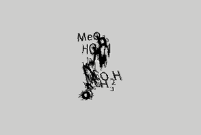 COc1ccc2nccc(C(O)CC[C@@H]3CCN(C4CN(c5ccccn5)C4)C(C)[C@@H]3C(=O)O)c2c1